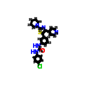 O=C(Nc1ccc(Cl)cc1)Nc1cccc(-c2sc(N3CCCCC3)nc2-c2ccncc2)c1